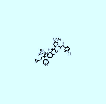 CO[C@@H]1C[C@H](C(=O)Nc2cc(C(CCC3CC3)(N[S@+]([O-])C(C)(C)C)c3ccncc3)ccc2F)N(C(=O)Nc2ccc(Cl)s2)C1